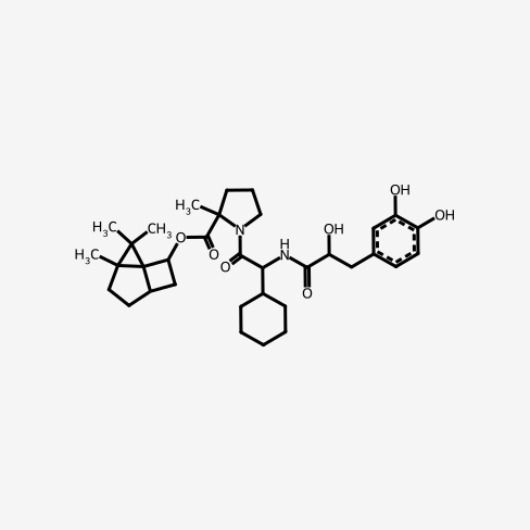 CC1(C(=O)OC2CC3CCC4(C)C(C)(C)C324)CCCN1C(=O)C(NC(=O)C(O)Cc1ccc(O)c(O)c1)C1CCCCC1